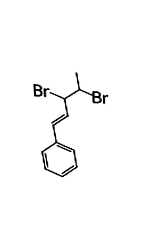 CC(Br)C(Br)C=Cc1ccccc1